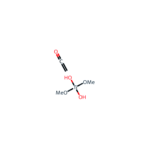 C=C=O.C[O][Ti]([OH])([OH])[O]C